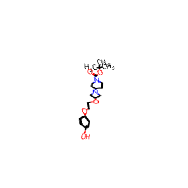 CC(C)(C)OC(=O)N1CCC(N2CC(OCCOc3ccc(O)cc3)C2)CC1